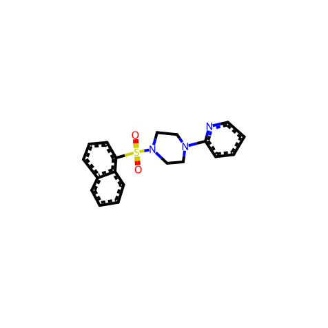 O=S(=O)(c1cccc2ccccc12)N1CCN(c2ccccn2)CC1